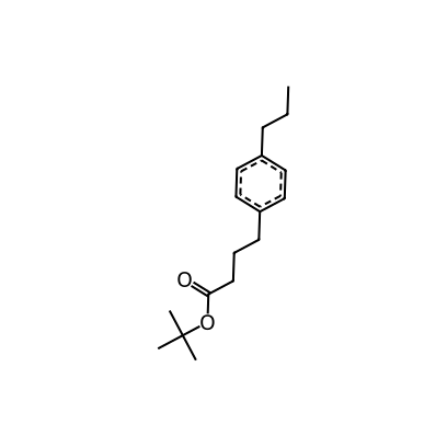 CCCc1ccc(CCCC(=O)OC(C)(C)C)cc1